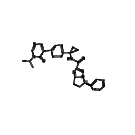 CC(C)n1cncc(-c2ccc(C3(NC(=O)c4nc5n(n4)[C@@H](c4ccccc4)CC5)CC3)cc2)c1=O